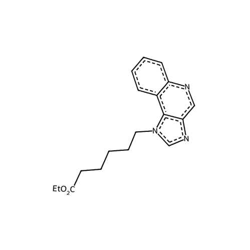 CCOC(=O)CCCCCn1cnc2cnc3ccccc3c21